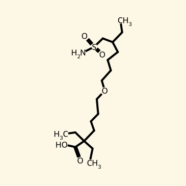 CCC(CCCCOCCCCC(CC)(CC)C(=O)O)CS(N)(=O)=O